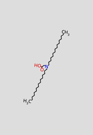 CCCCCCCCCCCCCCCCN(CCCCCCCCCCCCCCCC)CC(=O)O